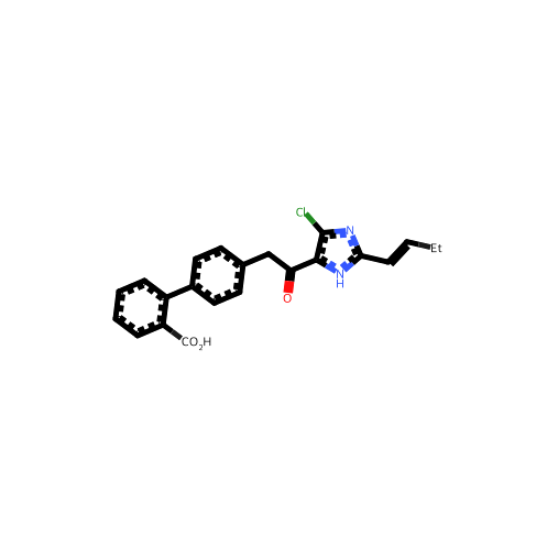 CC/C=C/c1nc(Cl)c(C(=O)Cc2ccc(-c3ccccc3C(=O)O)cc2)[nH]1